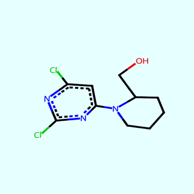 OCC1CCCCN1c1cc(Cl)nc(Cl)n1